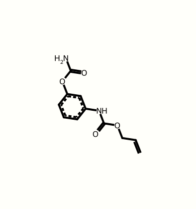 C=CCOC(=O)Nc1cccc(OC(N)=O)c1